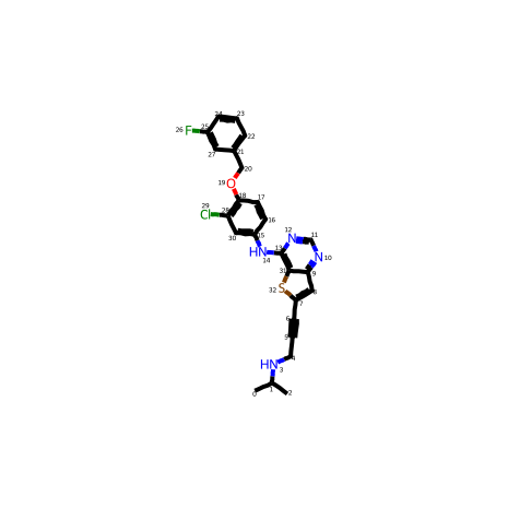 CC(C)NCC#Cc1cc2ncnc(Nc3ccc(OCc4cccc(F)c4)c(Cl)c3)c2s1